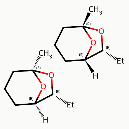 CC[C@H]1O[C@@]2(C)CCC[C@@H]1O2.CC[C@H]1O[C@]2(C)CCC[C@H]1O2